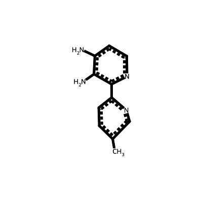 Cc1ccc(-c2nccc(N)c2N)nc1